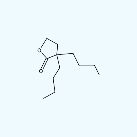 CCCCC1(CCCC)CCOC1=O